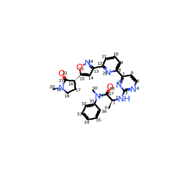 C[C@H](Nc1nccc(-c2cccc(-c3cc([C@@H]4CCN(C)C4=O)on3)n2)n1)C(=O)N(C)c1ccccc1